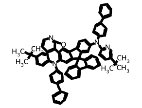 CC(C)(C)c1ccc(N(c2ccc(-c3ccccc3)cc2)c2cc3c(c4oc5ncccc5c24)-c2ccc(N(c4ccc(-c5ccccc5)cc4)c4ccc(C(C)(C)C)cn4)cc2C32c3ccccc3-c3ccccc32)cc1